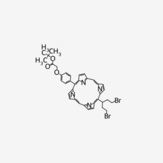 CC(C)(C)OC(=O)COc1ccc(C2=C3C=CC(=N3)C=C3C=CC(=N3)C(C(CCBr)CCBr)=C3C=CC(=N3)C=C3C=CC2=N3)cc1